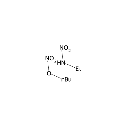 CCCCO[N+](=O)[O-].CCN[N+](=O)[O-]